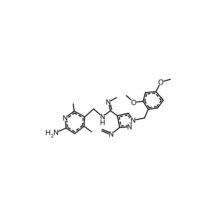 C=Nc1nn(Cc2ccc(OC)cc2OC)cc1/C(=N\C)NCc1c(C)cc(N)nc1C